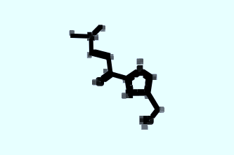 CN(C)C=CC(=O)c1nc(CO)cs1